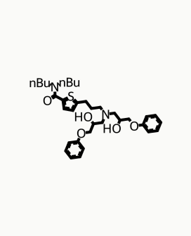 CCCCN(CCCC)C(=O)c1ccc(CCCN(CC(O)COc2ccccc2)CC(O)COc2ccccc2)s1